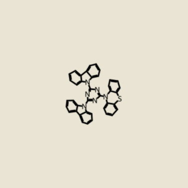 c1ccc2c(c1)Sc1ccccc1N2c1nc(-n2c3ccccc3c3ccccc32)nc(-n2c3ccccc3c3ccccc32)n1